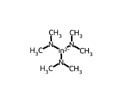 C[N](C)[In-2]([N](C)C)[N](C)C